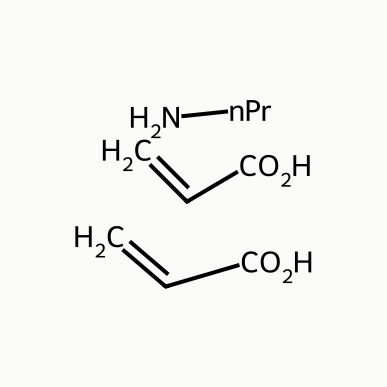 C=CC(=O)O.C=CC(=O)O.CCCN